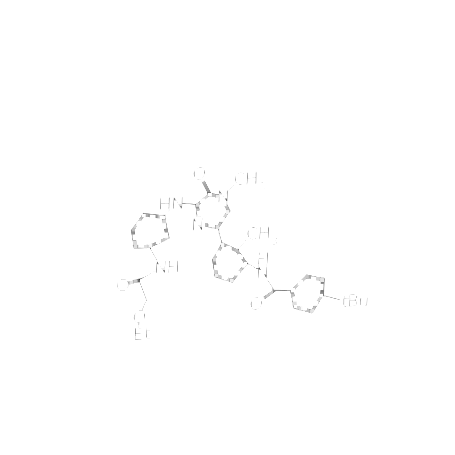 CCOCC(=O)Nc1cccc(Nc2nc(-c3cccc(NC(=O)c4ccc(C(C)(C)C)cc4)c3C)cn(C)c2=O)c1